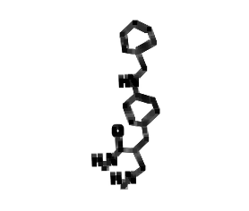 NCC(Cc1ccc(NCc2ccccc2)cc1)C(N)=O